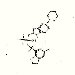 CC(C)(CC(O)(Cc1cc2cc(N3CCCCC3)ncc2[nH]1)C(F)(F)F)c1cc(Cl)cc2c1OCC2